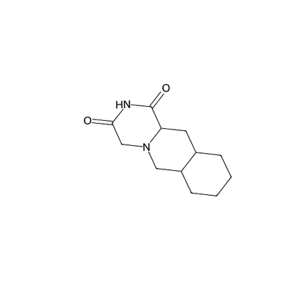 O=C1CN2CC3CCCCC3CC2C(=O)N1